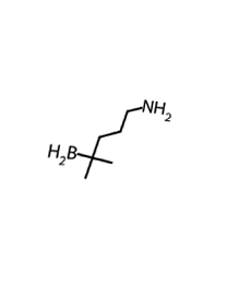 BC(C)(C)CCCN